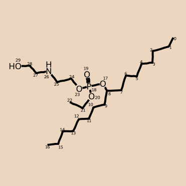 CCCCCCCCC(CCCCCCCC)OP(=O)(OCC)OCCNCCO